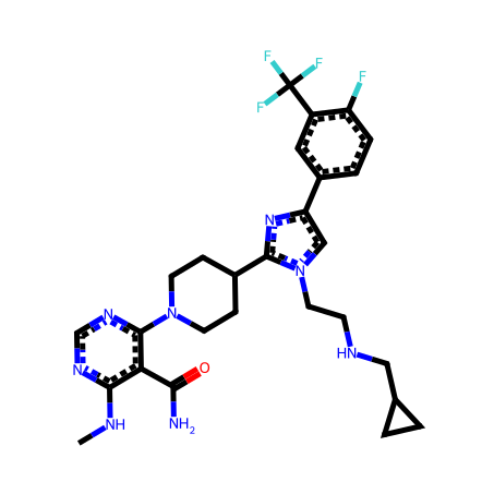 CNc1ncnc(N2CCC(c3nc(-c4ccc(F)c(C(F)(F)F)c4)cn3CCNCC3CC3)CC2)c1C(N)=O